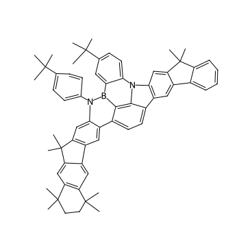 CC(C)(C)c1ccc(N2B3c4cc(C(C)(C)C)ccc4-n4c5cc6c(cc5c5ccc(c3c54)-c3cc4c(cc32)C(C)(C)c2cc3c(cc2-4)C(C)(C)CCC3(C)C)-c2ccccc2C6(C)C)cc1